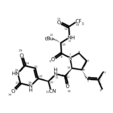 CC(C)=C[C@H]1CCN(C(=O)[C@@H](NC(=O)C(F)(F)F)C(C)(C)C)[C@@H]1C(=O)NC(C#N)c1cc(=O)[nH]c(=O)[nH]1